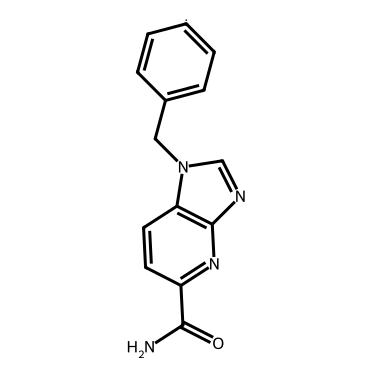 NC(=O)c1ccc2c(ncn2Cc2cc[c]cc2)n1